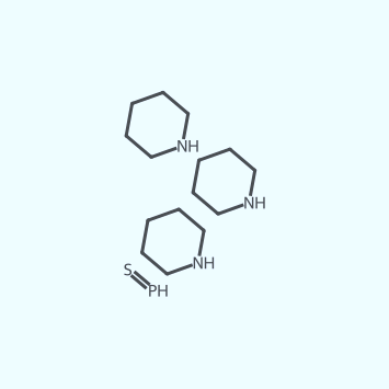 C1CCNCC1.C1CCNCC1.C1CCNCC1.P=S